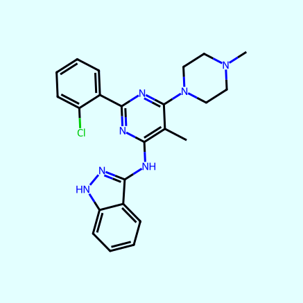 Cc1c(Nc2n[nH]c3ccccc23)nc(-c2ccccc2Cl)nc1N1CCN(C)CC1